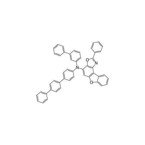 c1ccc(-c2ccc(-c3ccc(N(c4cccc(-c5ccccc5)c4)c4cc5oc6ccccc6c5c5nc(-c6ccccc6)oc45)cc3)cc2)cc1